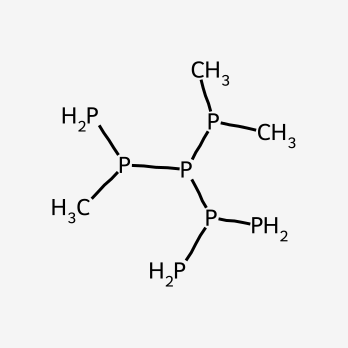 CP(C)P(P(C)P)P(P)P